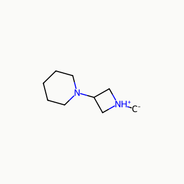 [CH2-][NH+]1CC(N2CCCCC2)C1